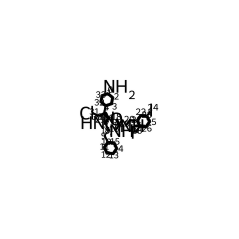 Nc1ccc(-c2nc([C@H](Cc3ccccc3)NC(=O)NCc3cc(I)ccc3F)[nH]c2Cl)cc1